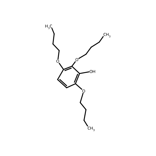 CCCCOc1ccc(OCCCC)c(OCCCC)c1O